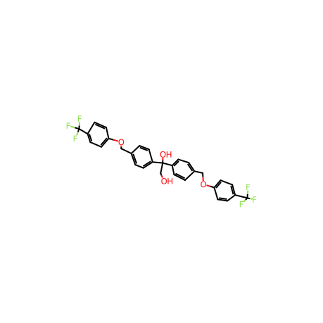 OCC(O)(c1ccc(COc2ccc(C(F)(F)F)cc2)cc1)c1ccc(COc2ccc(C(F)(F)F)cc2)cc1